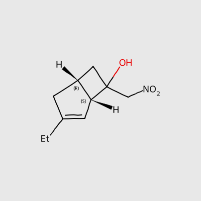 CCC1=C[C@@H]2[C@H](C1)CC2(O)C[N+](=O)[O-]